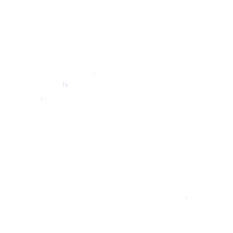 C=CCCCCCCCC(=O)N(C)c1ccccc1